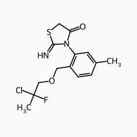 Cc1ccc(COCC(C)(F)Cl)c(N2C(=N)SCC2=O)c1